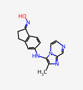 Cc1nc2cnccn2c1Nc1ccc2c(c1)CC/C2=N\O